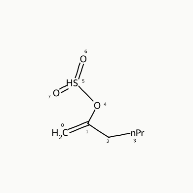 C=C(CCCC)O[SH](=O)=O